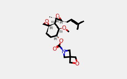 CO[C@@H]1[C@H](OC(=O)N2CC3(COC3)C2)CC[C@]2(CO2)[C@H]1[C@@]1(C)O[C@@H]1CC=C(C)C